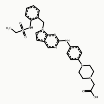 CCS(=O)(=O)Nc1ccccc1Cn1ccc2cnc(Nc3ccc(N4CCN(CC(=O)O)CC4)cc3)nc21